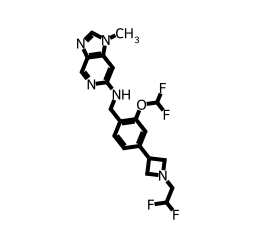 Cn1cnc2cnc(NCc3ccc(C4CN(CC(F)F)C4)cc3OC(F)F)cc21